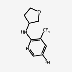 [2H]c1cnc(NC2CCOC2)c(C(F)(F)F)c1